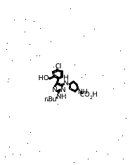 CCCCNc1ncc(-c2ccc(Cl)cc2CO)c(N[C@H]2CC[C@H](NC(=O)O)CC2)n1